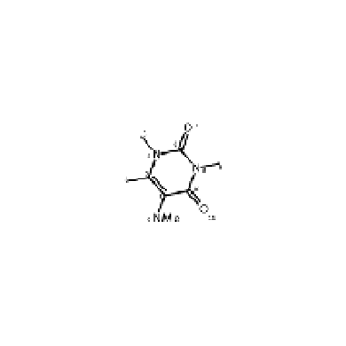 CNc1c(C)n(C)c(=O)n(C)c1=O